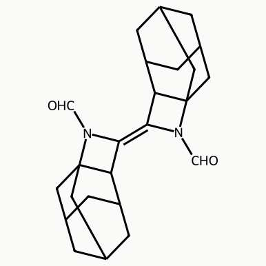 O=CN1C(=C2C3C4CC5CC(C4)CC3(C5)N2C=O)C2C3CC4CC(C3)CC21C4